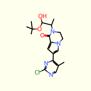 Cc1cnc(Cl)nc1-c1cc2n(c1)CCN(C(C)C(O)OC(C)(C)C)C2=O